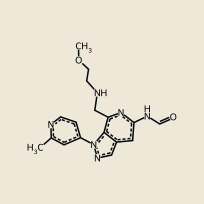 COCCNCc1nc(NC=O)cc2cnn(-c3ccnc(C)c3)c12